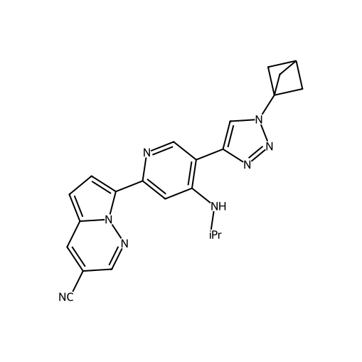 CC(C)Nc1cc(-c2ccc3cc(C#N)cnn23)ncc1-c1cn(C23CC(C2)C3)nn1